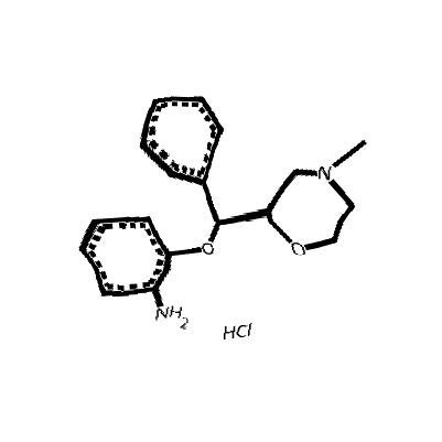 CN1CCOC(C(Oc2ccccc2N)c2ccccc2)C1.Cl